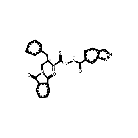 O=C(NNC(=S)N[C@H](Cc1ccccc1)CN1C(=O)c2ccccc2C1=O)c1ccc2cnsc2c1